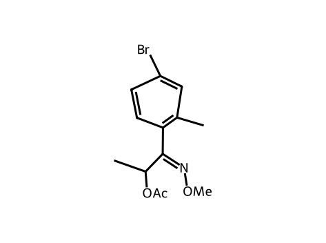 CON=C(c1ccc(Br)cc1C)C(C)OC(C)=O